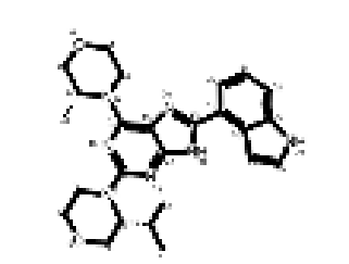 CC(C)[C@@H]1COCCN1c1nc(N2CCOC[C@H]2C)c2nc(-c3cccc4[nH]ccc34)[nH]c2n1